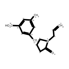 C=CCN1CCCC1=O.Cc1cc(C(=O)O)cc(C(=O)O)c1